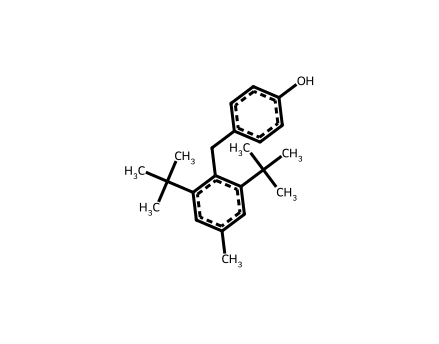 Cc1cc(C(C)(C)C)c(Cc2ccc(O)cc2)c(C(C)(C)C)c1